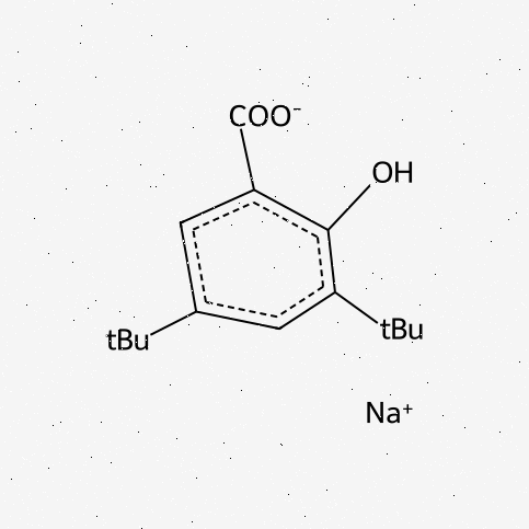 CC(C)(C)c1cc(C(=O)[O-])c(O)c(C(C)(C)C)c1.[Na+]